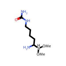 CO[SiH](OC)C(N)CCCCNC(N)=O